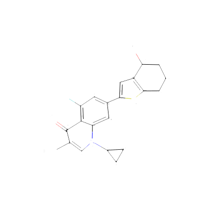 O=C(O)c1cn(C2CC2)c2cc(-c3cc4c(s3)CCCC4O)cc(F)c2c1=O